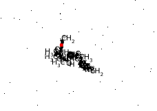 C=CCCCC(=O)N[C@H](C(=O)N[C@@H](C)C(=O)N1CCC[C@@H](C(=O)OC(C)c2ccc3cnc(C=C)cc3c2)N1)C(C)C